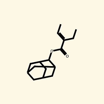 CC=C(CC)C(=O)OC1C2CC3CC(C2)CC1C3